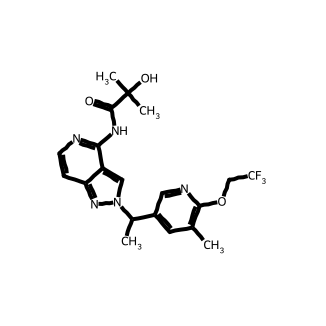 Cc1cc(C(C)n2cc3c(NC(=O)C(C)(C)O)nccc3n2)cnc1OCC(F)(F)F